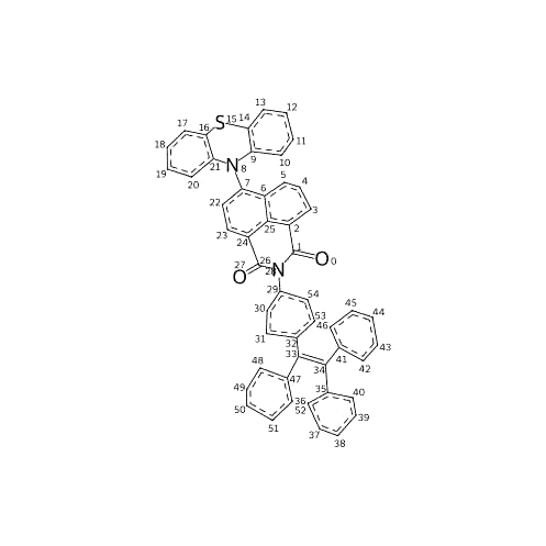 O=C1c2cccc3c(N4c5ccccc5Sc5ccccc54)ccc(c23)C(=O)N1c1ccc(C(=C(c2ccccc2)c2ccccc2)c2ccccc2)cc1